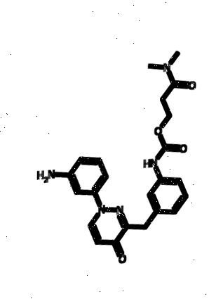 CN(C)C(=O)CCOC(=O)Nc1cccc(Cc2nn(-c3cccc(N)c3)ccc2=O)c1